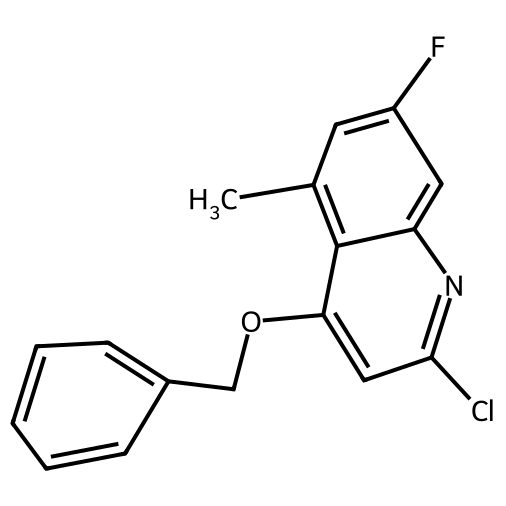 Cc1cc(F)cc2nc(Cl)cc(OCc3ccccc3)c12